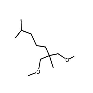 COCC(C)(CCCC(C)C)COC